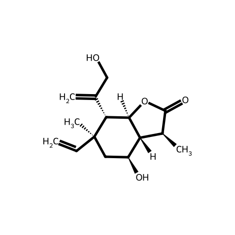 C=C[C@]1(C)C[C@H](O)[C@@H]2[C@H](OC(=O)[C@H]2C)[C@H]1C(=C)CO